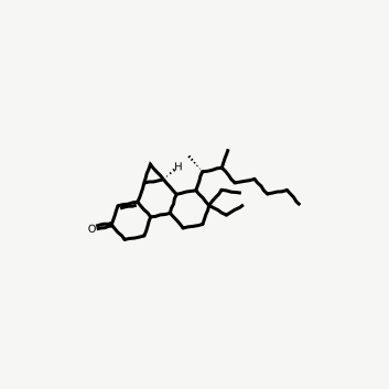 CCCCCC(C)[C@@H](C)C1C2C(CCC1(CC)CC)C1CCC(=O)C=C1C1C[C@H]12